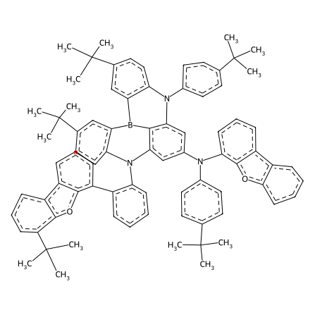 CC(C)(C)c1ccc(N2c3ccc(C(C)(C)C)cc3B3c4cc(C(C)(C)C)ccc4N(c4ccccc4-c4cccc5c4oc4c(C(C)(C)C)cccc45)c4cc(N(c5ccc(C(C)(C)C)cc5)c5cccc6c5oc5ccccc56)cc2c43)cc1